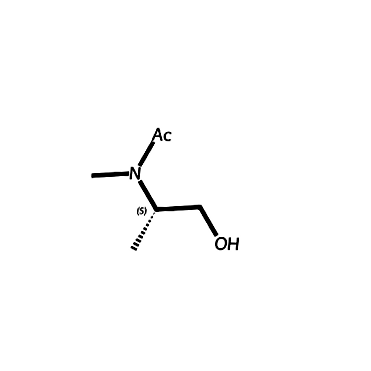 CC(=O)N(C)[C@@H](C)CO